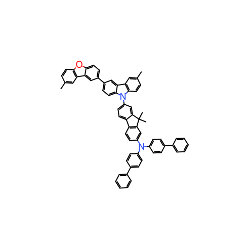 Cc1ccc2oc3ccc(-c4ccc5c(c4)c4cc(C)ccc4n5-c4ccc5c(c4)C(C)(C)c4cc(N(c6ccc(-c7ccccc7)cc6)c6ccc(-c7ccccc7)cc6)ccc4-5)cc3c2c1